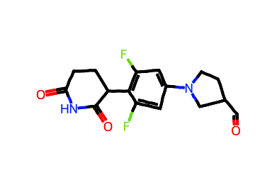 O=CC1CCN(c2cc(F)c(C3CCC(=O)NC3=O)c(F)c2)C1